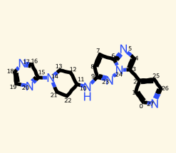 c1cc(-c2cnc3ccc(NC4CCN(c5cnccn5)CC4)nn23)ccn1